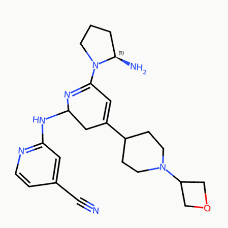 N#Cc1ccnc(NC2CC(C3CCN(C4COC4)CC3)=CC(N3CCC[C@H]3N)=N2)c1